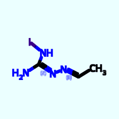 C/C=N/N=C(/N)NI